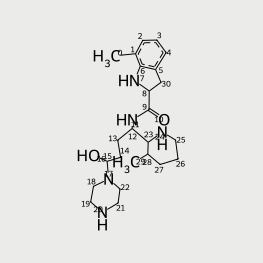 Cc1cccc2c1NC(C(=O)NC(CCC(O)N1CCNCC1)C1NCCCC1C)C2